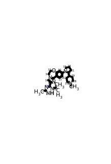 CC(=N)/N=C(\NC(C)C)c1cn2c(n1)-c1ccc(N3CCCC3C3CCN(C)CC3)cc1OCC2